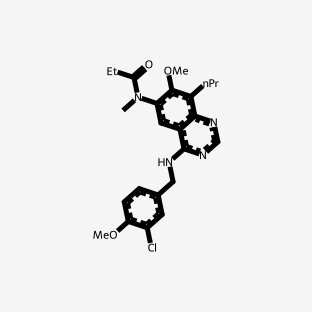 CCCc1c(OC)c(N(C)C(=O)CC)cc2c(NCc3ccc(OC)c(Cl)c3)ncnc12